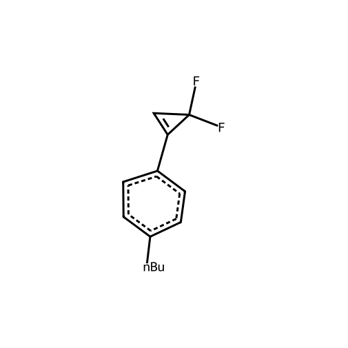 CCCCc1ccc(C2=CC2(F)F)cc1